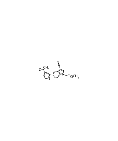 COCCn1cc(C#N)c2cc(-c3cc(C(C)=O)ccn3)ccc21